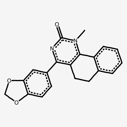 Cn1c2c(c(-c3ccc4c(c3)OCO4)nc1=O)CCc1ccccc1-2